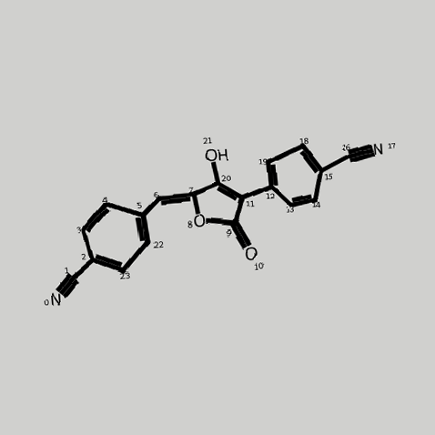 N#Cc1ccc(/C=C2\OC(=O)C(c3ccc(C#N)cc3)=C2O)cc1